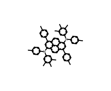 Cc1ccc(-c2cc(N(c3ccc(C)cc3)c3cc(C)c(C)c(C)c3)c3ccc4c(-c5ccc(C)cc5)cc(N(c5ccc(C)cc5)c5cc(C)c(C)c(C)c5)c5ccc2c3c45)cc1